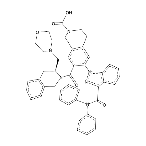 O=C(O)N1CCc2cc(-n3nc(C(=O)N(c4ccccc4)c4ccccc4)c4ccccc43)c(C(=O)N3Cc4ccccc4C[C@H]3CN3CCOCC3)cc2C1